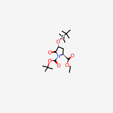 CCOC(=O)[C@@H]1C[C@@H](O[Si](C)(C)C(C)(C)C)C(=O)N1C(=O)OC(C)(C)C